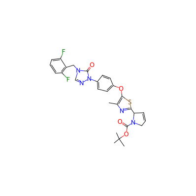 Cc1nc(C2C=CCN2C(=O)OC(C)(C)C)sc1Oc1ccc(-n2ncn(Cc3c(F)cccc3F)c2=O)cc1